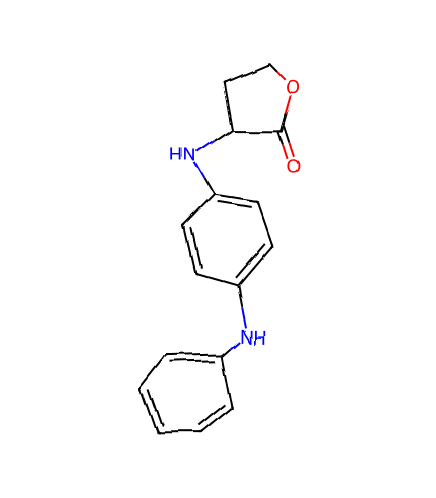 O=C1OCCC1Nc1ccc(Nc2ccccc2)cc1